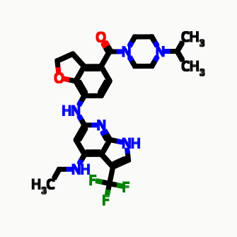 CCNc1cc(Nc2ccc(C(=O)N3CCN(C(C)C)CC3)c3c2OCC3)nc2[nH]cc(C(F)(F)F)c12